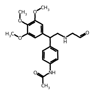 COc1cc(C(CNCC=O)c2ccc(NC(C)=O)cc2)cc(OC)c1OC